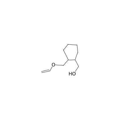 C=COCC1CCCCC1CO